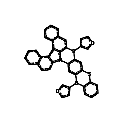 c1ccc2c(c1)Sc1cc3c(cc1B2c1ccoc1)-n1c2ccc4ccccc4c2c2c4ccccc4cc(c21)B3c1ccoc1